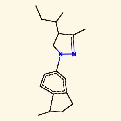 CCC(C)C1CN(c2ccc3c(c2)CCC3C)N=C1C